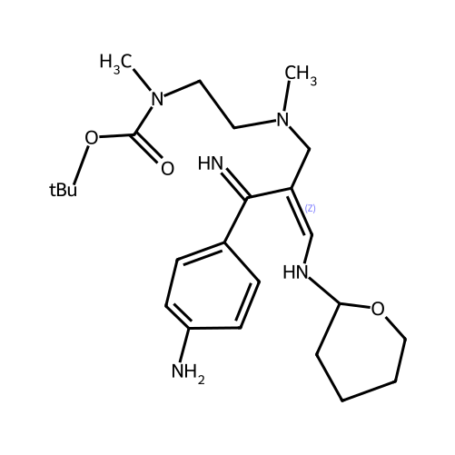 CN(CCN(C)C(=O)OC(C)(C)C)C/C(=C/NC1CCCCO1)C(=N)c1ccc(N)cc1